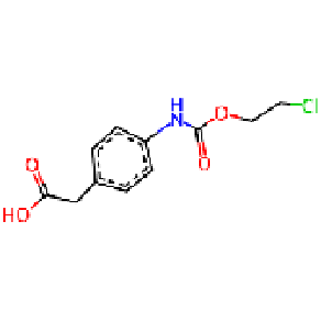 O=C(O)Cc1ccc(NC(=O)OCCCl)cc1